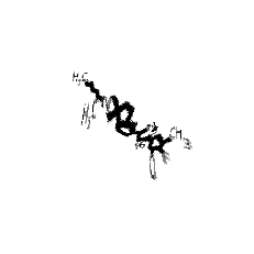 C=C(CCCCC)N1CC2(CCc3cc(C4=NSC(SF)(c5cc(Cl)c(F)c(CC)c5)C4)ccc32)C1